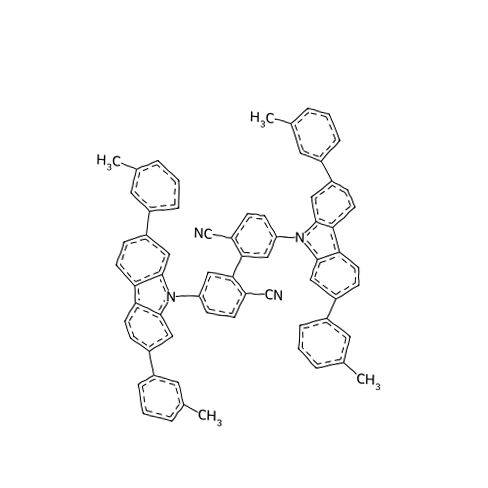 Cc1cccc(-c2ccc3c4ccc(-c5cccc(C)c5)cc4n(-c4ccc(C#N)c(-c5cc(-n6c7cc(-c8cccc(C)c8)ccc7c7ccc(-c8cccc(C)c8)cc76)ccc5C#N)c4)c3c2)c1